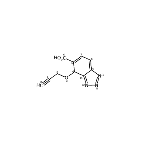 C#CCOC1C(C(=O)O)=CC=C2N=NN=C21